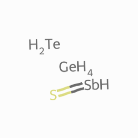 [GeH4].[S]=[SbH].[TeH2]